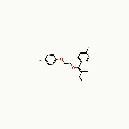 CC/C(C)=C(\OCCOc1ccc(C)cc1)c1ccc(C)cc1C